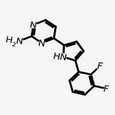 Nc1nccc(-c2ccc(-c3cccc(F)c3F)[nH]2)n1